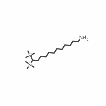 C[Si](C)(C)C(CCCCCCCCCCCN)[Si](C)(C)C